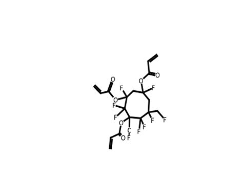 C=CC(=O)OC1(F)CC(F)(CF)C(F)(F)C(CF)(OC(=O)C=C)C(F)(F)C(F)(OC(=O)C=C)C1